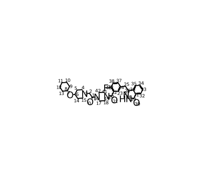 O=C(CN1CCC(OC2CCCCC2)CC1)N1CCN(C(=O)c2cc(Cc3n[nH]c(=O)c4ccccc34)ccc2F)CC1